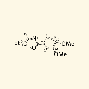 CCOC(C)=NC(=O)c1ccc(OC)c(OC)c1